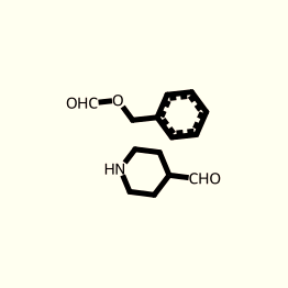 O=CC1CCNCC1.O=COCc1ccccc1